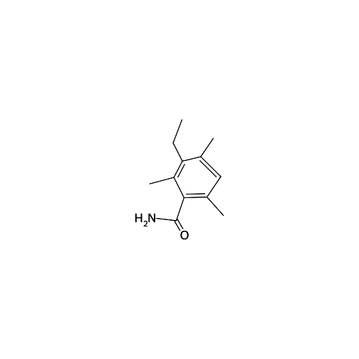 CCc1c(C)cc(C)c(C(N)=O)c1C